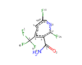 NC(=O)c1c(C(F)(F)F)cc(F)nc1F